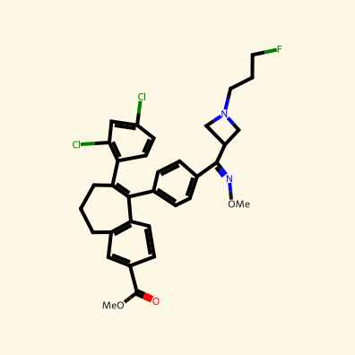 CO/N=C(\c1ccc(C2=C(c3ccc(Cl)cc3Cl)CCCc3cc(C(=O)OC)ccc32)cc1)C1CN(CCCF)C1